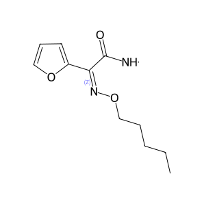 CCCCCO/N=C(\C([NH])=O)c1ccco1